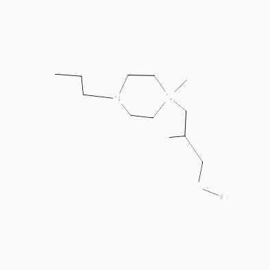 CC(C)OCC(O)C[N+]1(C)CCN(CCO)CC1